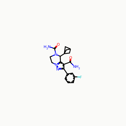 NC(=O)c1c(-c2cccc(F)c2)nn2c1C(C13CC(C1)C3)N(C(N)=O)CC2